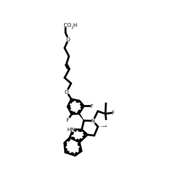 C[C@@H]1Cc2c([nH]c3ccccc23)[C@@H](c2c(F)cc(OCC/C=C/CCOCC(=O)O)cc2F)N1CC(C)(C)F